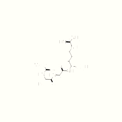 CCCC[C@H](NC(=O)OC)C(=O)NCC(=O)N[C@@H](CCCNC(=N)N)C(=O)O